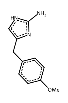 COc1ccc(Cc2c[nH]c(N)n2)cc1